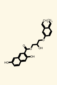 C/C=c1/ccc(OCC(O)COC(=O)c2cc3cc(O)ccc3cc2O)c/c1=C/C